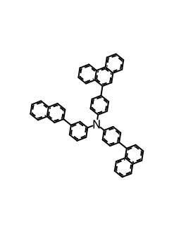 c1cc(-c2ccc3ccccc3c2)cc(N(c2ccc(-c3cccc4ccccc34)cc2)c2ccc(-c3cc4ccccc4c4ccccc34)cc2)c1